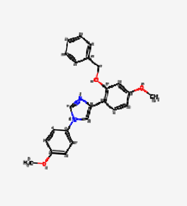 COc1ccc(-n2cnc(-c3ccc(OC)cc3OCc3ccccc3)c2)cc1